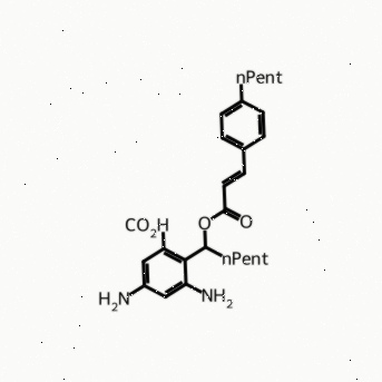 CCCCCc1ccc(/C=C/C(=O)OC(CCCCC)c2c(N)cc(N)cc2C(=O)O)cc1